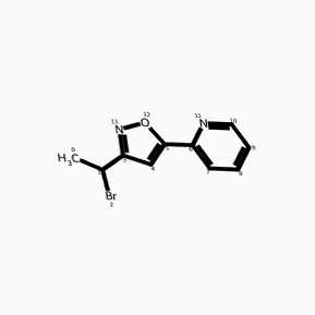 CC(Br)c1cc(-c2ccccn2)on1